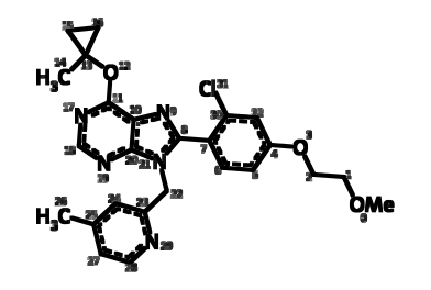 COCCOc1ccc(-c2nc3c(OC4(C)CC4)ncnc3n2Cc2cc(C)ccn2)c(Cl)c1